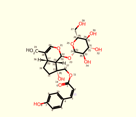 O=C(/C=C\c1ccc(O)cc1)OC[C@@]1(O)CC[C@@H]2C(C(=O)O)=CO[C@@H](O[C@@H]3O[C@H](CO)[C@@H](O)[C@H](O)[C@H]3O)[C@@H]21